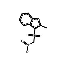 Cc1sc2ccccc2c1S(=O)(=O)C[N+](=O)[O-]